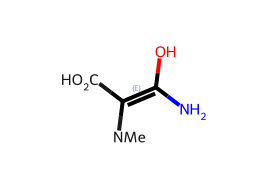 CN/C(C(=O)O)=C(\N)O